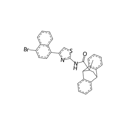 CC1(C(=O)Nc2nc(-c3ccc(Br)c4ccccc34)cs2)CC2c3ccccc3C1c1ccccc12